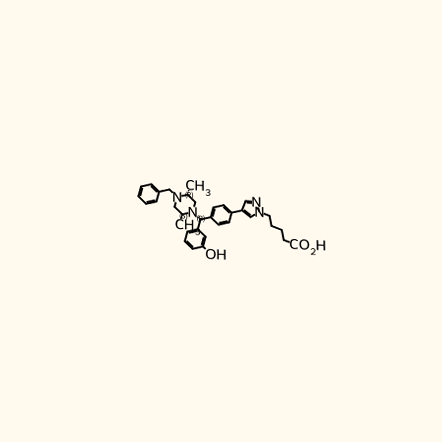 C[C@@H]1CN([C@H](c2ccc(-c3cnn(CCCCC(=O)O)c3)cc2)c2cccc(O)c2)[C@@H](C)CN1Cc1ccccc1